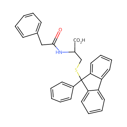 O=C(Cc1ccccc1)NC(CSC1(c2ccccc2)c2ccccc2-c2ccccc21)C(=O)O